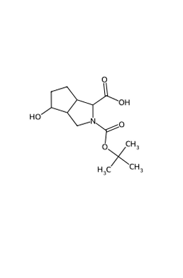 CC(C)(C)OC(=O)N1CC2C(O)CCC2C1C(=O)O